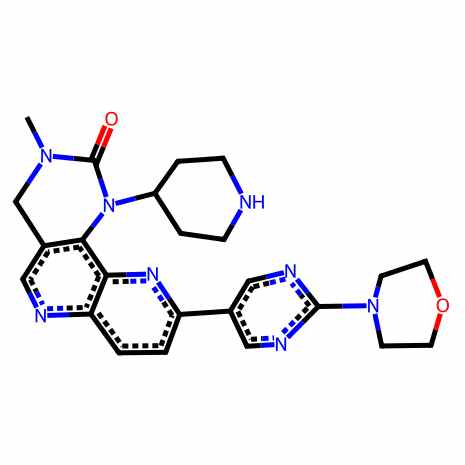 CN1Cc2cnc3ccc(-c4cnc(N5CCOCC5)nc4)nc3c2N(C2CCNCC2)C1=O